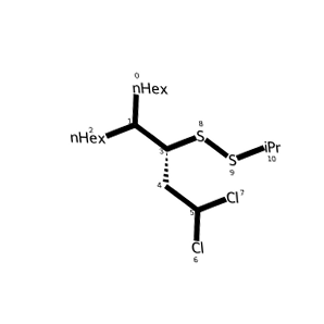 CCCCCCC(CCCCCC)[C@@H](CC(Cl)Cl)SSC(C)C